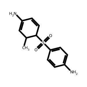 CC1C=C(N)C=CC1S(=O)(=O)c1ccc(N)cc1